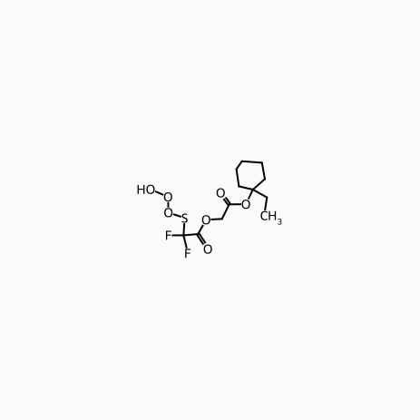 CCC1(OC(=O)COC(=O)C(F)(F)SOOO)CCCCC1